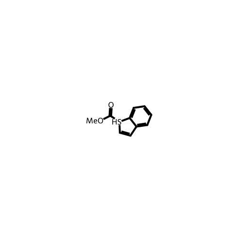 COC(=O)[SH]1C=Cc2ccccc21